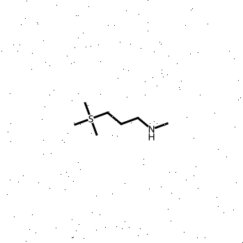 CNCCCS(C)(C)C